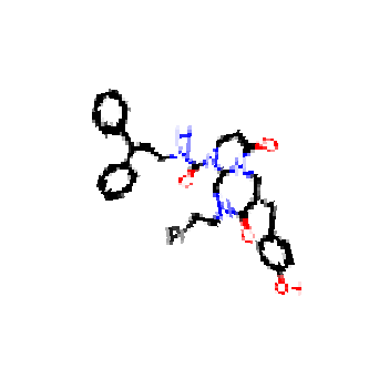 CC(C)CCN1CC2N(C[C@@H](Cc3ccc(O)cc3)C1=O)C(=O)CCN2C(=O)NCCC(c1ccccc1)c1ccccc1